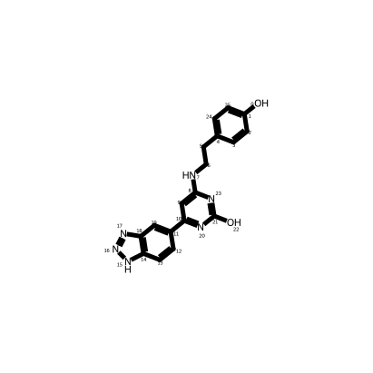 Oc1ccc(CCNc2cc(-c3ccc4[nH]nnc4c3)nc(O)n2)cc1